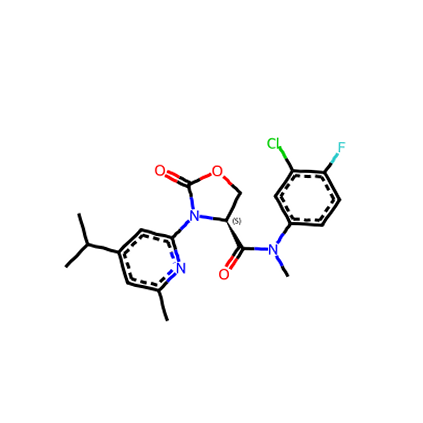 Cc1cc(C(C)C)cc(N2C(=O)OC[C@H]2C(=O)N(C)c2ccc(F)c(Cl)c2)n1